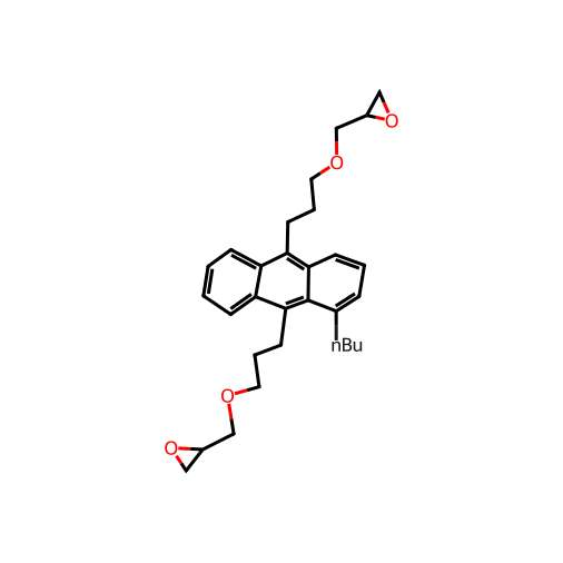 CCCCc1cccc2c(CCCOCC3CO3)c3ccccc3c(CCCOCC3CO3)c12